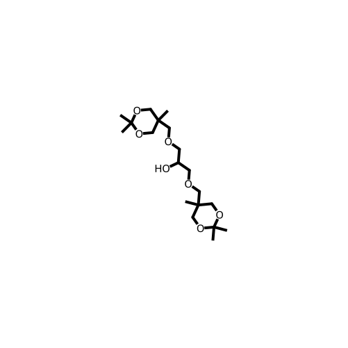 CC1(COCC(O)COCC2(C)COC(C)(C)OC2)COC(C)(C)OC1